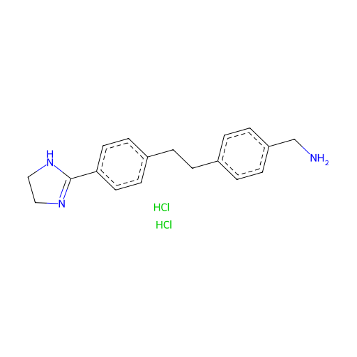 Cl.Cl.NCc1ccc(CCc2ccc(C3=NCCN3)cc2)cc1